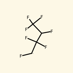 F[CH]C(F)(F)C(F)C(F)(F)F